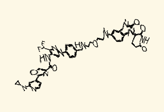 CN(CCOCCNCc1ccc(-n2cc(NC(=O)c3coc(-c4ccnc(N(C)C5CC5)c4)n3)c(C(F)F)n2)cc1)c1ccc2c(c1)n(C)c(=O)n2C1CCC(=O)NC1=O